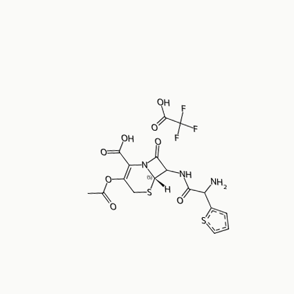 CC(=O)OC1=C(C(=O)O)N2C(=O)C(NC(=O)C(N)c3cccs3)[C@@H]2SC1.O=C(O)C(F)(F)F